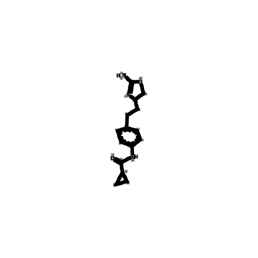 NC1=NC(CCc2ccc(NC(=O)C3CC3)cc2)CO1